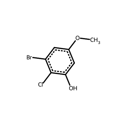 COc1cc(O)c(Cl)c(Br)c1